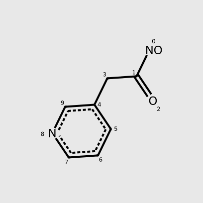 O=NC(=O)Cc1cccnc1